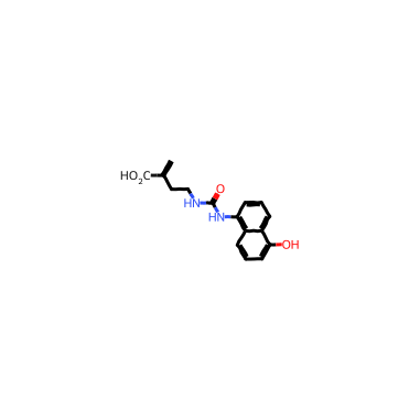 C=C(CCNC(=O)Nc1cccc2c(O)cccc12)C(=O)O